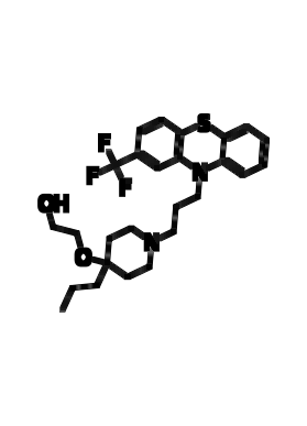 CCCC1(OCCO)CCN(CCCN2c3ccccc3Sc3ccc(C(F)(F)F)cc32)CC1